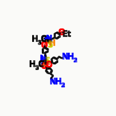 CCOc1ccc(/C=N/N(C)[PH](=S)Oc2ccc(/C=N/N(C)P(=S)(Oc3ccc(CCN)cc3)Oc3ccc(CCN)cc3)cc2)cc1